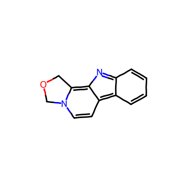 c1ccc2c3ccn4c(c-3nc2c1)COC4